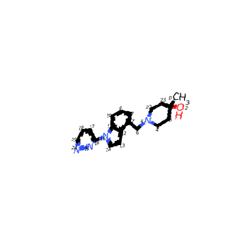 CC1(O)CCN(Cc2cccc3c2ccn3-c2cccnn2)CC1